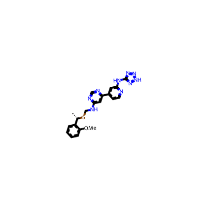 COc1ccccc1[C@H](C)SCNc1cc(-c2ccnc(Nc3nn[nH]n3)c2)ncn1